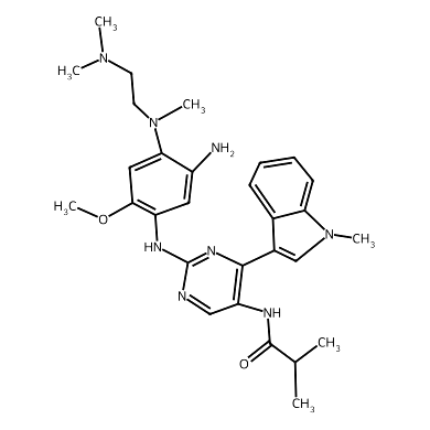 COc1cc(N(C)CCN(C)C)c(N)cc1Nc1ncc(NC(=O)C(C)C)c(-c2cn(C)c3ccccc23)n1